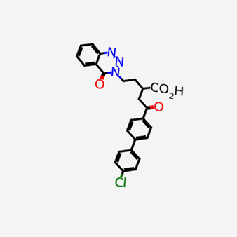 O=C(CC(CCn1nnc2ccccc2c1=O)C(=O)O)c1ccc(-c2ccc(Cl)cc2)cc1